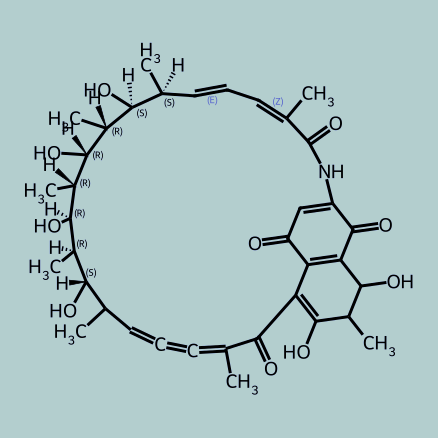 CC1=C=C=CC(C)[C@H](O)[C@@H](C)[C@@H](O)[C@H](C)[C@H](O)[C@H](C)[C@@H](O)[C@@H](C)/C=C/C=C(/C)C(=O)NC2=CC(=O)C3=C(C2=O)C(O)C(C)C(O)=C3C1=O